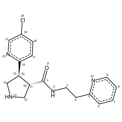 O=C(NCCc1ccccn1)[C@@H]1CNC[C@H]1c1ccc(Cl)cn1